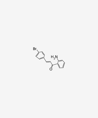 Nc1ccccc1C(=O)/C=C/c1ccc(Br)cc1